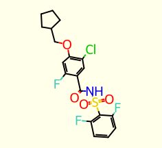 O=C(NS(=O)(=O)c1c(F)cccc1F)c1cc(Cl)c(OCC2CCCC2)cc1F